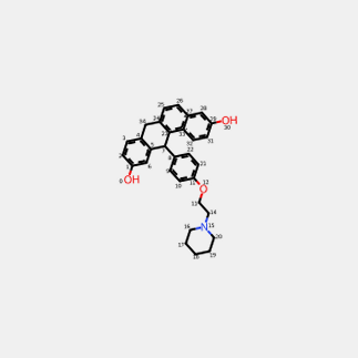 Oc1ccc2c(c1)C(c1ccc(OCCN3CCCCC3)cc1)c1c(ccc3cc(O)ccc13)C2